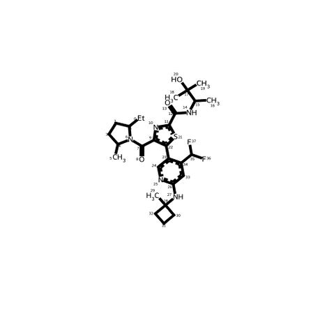 CCC1CCC(C)N1C(=O)c1nc(C(=O)NC(C)C(C)(C)O)sc1-c1cnc(NC2(C)CCC2)cc1C(F)F